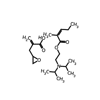 C=C(CC1CO1)C(=O)O.CCC=C(C)C(=O)OCCN(C(C)C)C(C)C